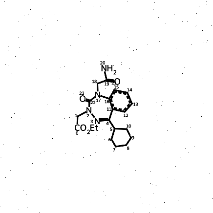 CCOC(=O)CN1N=C(C2CCCCC2)c2ccccc2N(CC(N)=O)C1=O